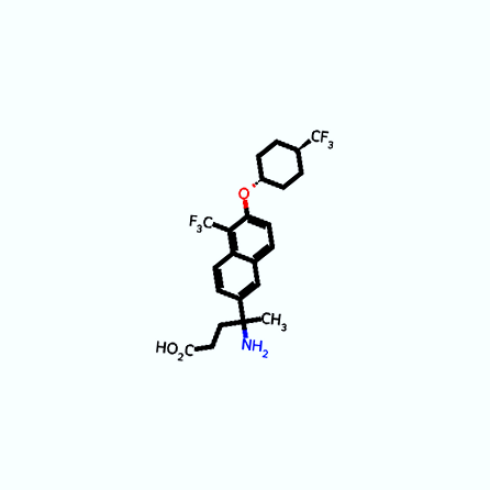 CC(N)(CCC(=O)O)c1ccc2c(C(F)(F)F)c(O[C@H]3CC[C@H](C(F)(F)F)CC3)ccc2c1